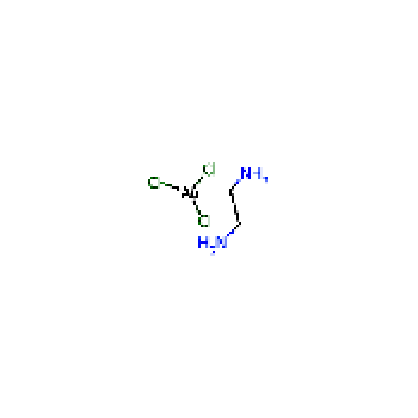 NCCN.[Cl][Au]([Cl])[Cl]